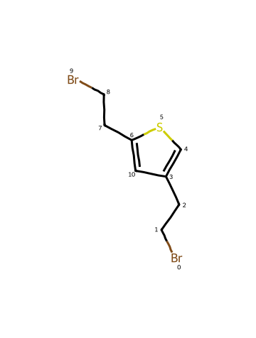 BrCCc1csc(CCBr)c1